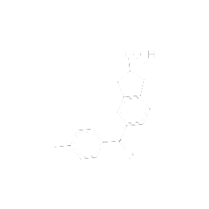 Cc1ccc(C(=O)c2ccc3c(c2)CC(C(=O)O)C3)cc1